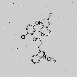 Cn1cc(CCC(=O)N2CCc3cc(F)ccc3C2c2cc(Cl)ccc2O)c2ccccc21